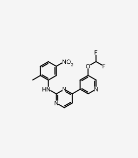 Cc1ccc([N+](=O)[O-])cc1Nc1nccc(-c2cncc(OC(F)F)c2)n1